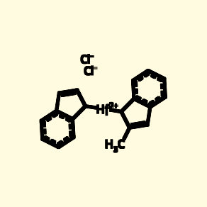 CC1=Cc2ccccc2[CH]1[Hf+2][CH]1C=Cc2ccccc21.[Cl-].[Cl-]